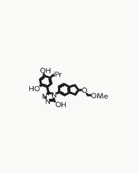 COCOC1Cc2ccc(-n3c(O)nnc3-c3cc(C(C)C)c(O)cc3O)cc2C1